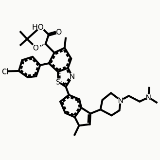 Cc1cc2nc(-c3ccc4c(c3)C(C3CCN(CCN(C)C)CC3)=CC4C)sc2c(-c2ccc(Cl)cc2)c1[C@H](OC(C)(C)C)C(=O)O